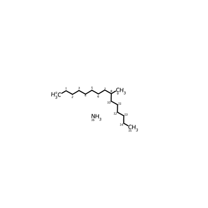 CCCCCCCCC(C)CCCCCC.N